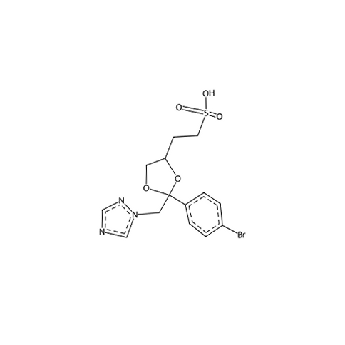 O=S(=O)(O)CCC1COC(Cn2cncn2)(c2ccc(Br)cc2)O1